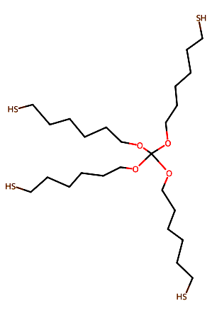 SCCCCCCOC(OCCCCCCS)(OCCCCCCS)OCCCCCCS